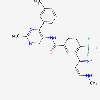 CN/C=C\C(=N)c1cc(C(=O)Nc2cnc(C)nc2-c2cccc(C)c2)ccc1C(F)(F)F